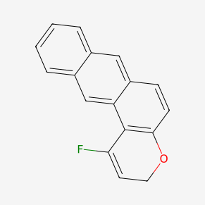 FC1=CCOc2ccc3cc4ccccc4cc3c21